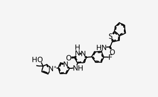 CC1(O)C=C[N+](c2ccc(Nc3cc(-c4ccc(F)c(NC(=O)c5cc6ccccc6s5)c4)n[nH]c3=O)nc2)=C1